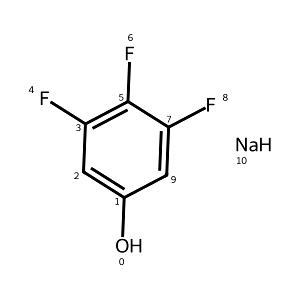 Oc1cc(F)c(F)c(F)c1.[NaH]